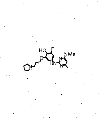 CNc1cc(C)nc(Nc2cc(F)c(O)c(OCCCN3CCCC3)c2)n1